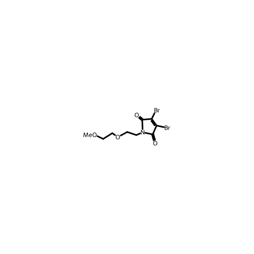 COCCOCCN1C(=O)C(Br)=C(Br)C1=O